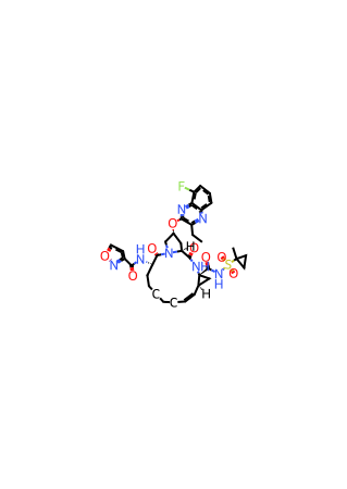 CCc1nc2cccc(F)c2nc1O[C@@H]1C[C@H]2C(=O)N[C@]3(C(=O)NS(=O)(=O)C4(C)CC4)C[C@H]3C=CCCCCC[C@H](NC(=O)c3ccon3)C(=O)N2C1